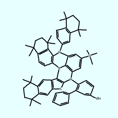 CC(C)(C)c1ccc(N2c3cc([Si](C)(C)C)cc4c3B(c3ccc5c(c3N4c3ccc4c(c3)C(C)(C)CCC4(C)C)C(C)(C)CCC5(C)C)c3c2sc2cc4c(cc32)C(C)(C)CCC4(C)C)c(-c2ccccc2)c1